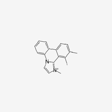 Cc1ccc2c3ccccc3n3cc[n+](C)c3c2c1C